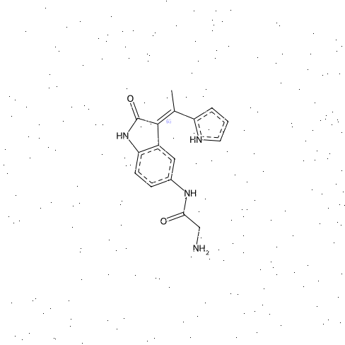 C/C(=C1\C(=O)Nc2ccc(NC(=O)CN)cc21)c1ccc[nH]1